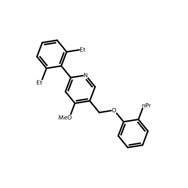 CCCc1ccccc1OCc1cnc(-c2c(CC)cccc2CC)cc1OC